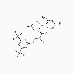 Cc1cc(F)ccc1N1CCC(=O)C[C@@H]1C(=O)N(C)CCc1cc(C(F)(F)F)cc(C(F)(F)F)c1